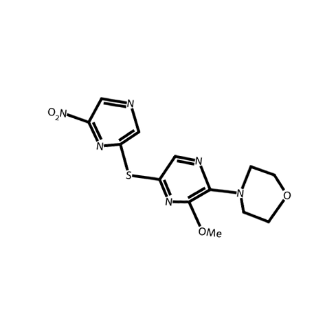 COc1nc(Sc2cncc([N+](=O)[O-])n2)cnc1N1CCOCC1